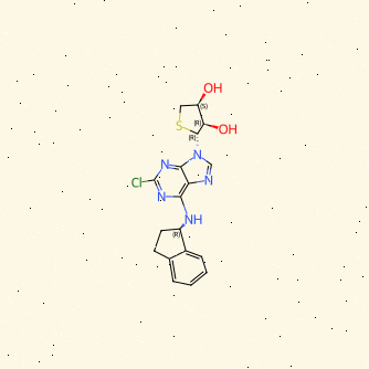 O[C@@H]1[C@H](O)CS[C@H]1n1cnc2c(N[C@@H]3CCc4ccccc43)nc(Cl)nc21